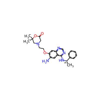 C[C@@H](Nc1ncnc2cc(OCCN3CC(=O)OC(C)(C)C3)c(N)cc12)c1ccccc1